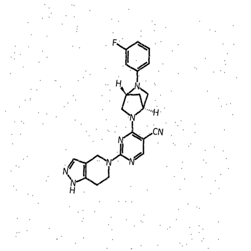 N#Cc1cnc(N2CCc3[nH]ncc3C2)nc1N1C[C@H]2C[C@H]1CN2c1cccc(F)c1